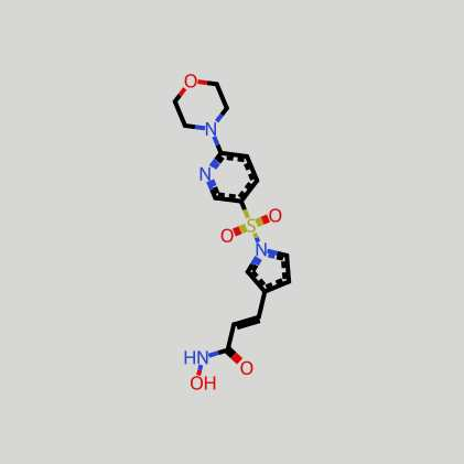 O=C(C=Cc1ccn(S(=O)(=O)c2ccc(N3CCOCC3)nc2)c1)NO